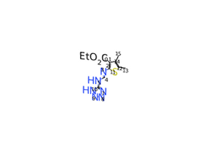 CCOC(=O)c1c(N=CNc2nnn[nH]2)sc(C)c1C